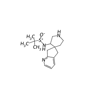 CC(C)(C)[S@@+]([O-])NC1CNCCC12Cc1cccnc1C2